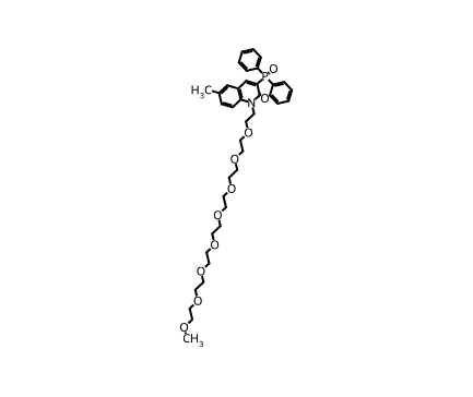 COCCOCCOCCOCCOCCOCCOCCOCCn1c(=O)c(P(=O)(c2ccccc2)c2ccccc2)cc2cc(C)ccc21